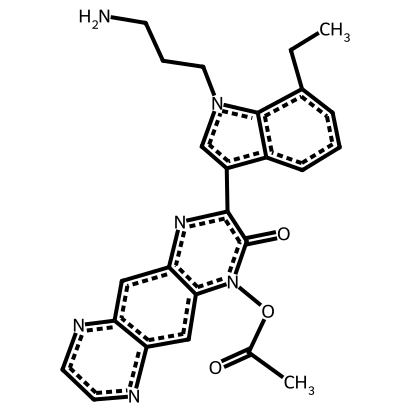 CCc1cccc2c(-c3nc4cc5nccnc5cc4n(OC(C)=O)c3=O)cn(CCCN)c12